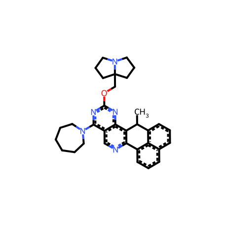 CC1c2c(ncc3c(N4CCCCCC4)nc(OCC45CCCN4CCC5)nc23)-c2cccc3cccc1c23